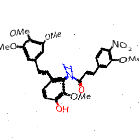 COc1cc(/C=C/C(=O)Nc2c(C=Cc3cc(OC)c(OC)c(OC)c3)ccc(O)c2OC)ccc1[N+](=O)[O-]